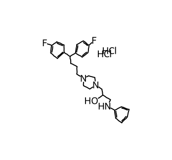 Cl.Cl.OC(CNc1ccccc1)CN1CCN(CCCC(c2ccc(F)cc2)c2ccc(F)cc2)CC1